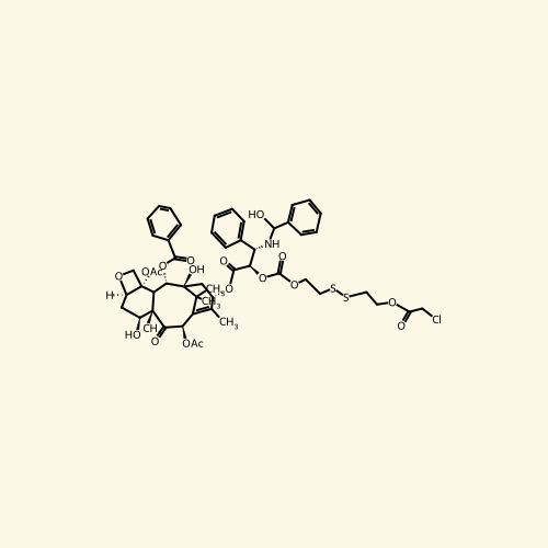 CC(=O)O[C@H]1C(=O)[C@@]2(C)C([C@H](OC(=O)c3ccccc3)[C@]3(O)C[C@H](OC(=O)[C@H](OC(=O)OCCSSCCOC(=O)CCl)[C@@H](NC(O)c4ccccc4)c4ccccc4)C(C)=C1C3(C)C)[C@]1(OC(C)=O)CO[C@@H]1C[C@@H]2O